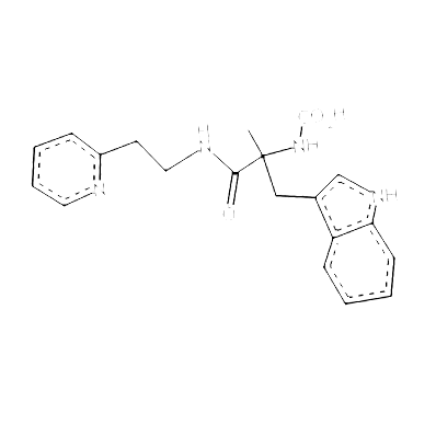 CC(Cc1c[nH]c2ccccc12)(NC(=O)O)C(=O)NCCc1ccccn1